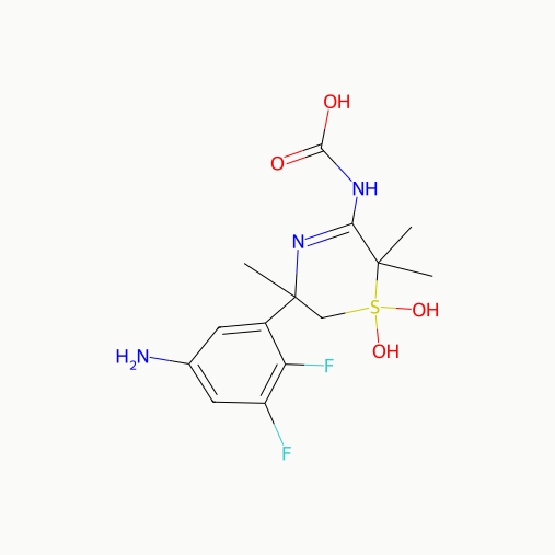 CC1(c2cc(N)cc(F)c2F)CS(O)(O)C(C)(C)C(NC(=O)O)=N1